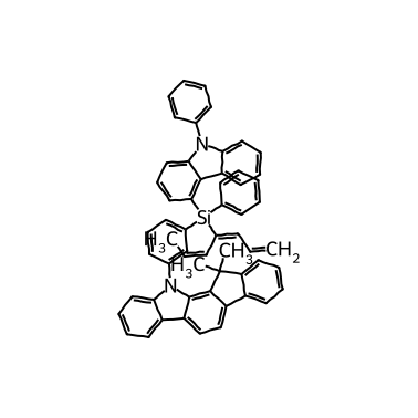 C=C/C=C(\C=C/C)[Si](c1ccccc1)(c1cccc(-n2c3ccccc3c3ccc4c(c32)C(C)(C)c2ccccc2-4)c1)c1cccc2c1c1ccccc1n2-c1ccccc1